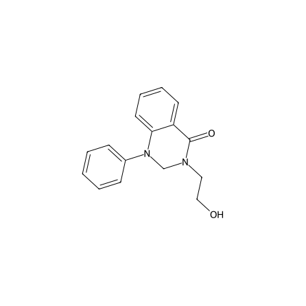 O=C1c2ccccc2N(c2ccccc2)CN1CCO